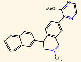 COc1nccnc1-c1ccc2c(c1)CN(C)CC2c1ccc2ccccc2c1